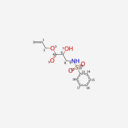 C=CCOC(=O)C(O)CNS(=O)(=O)c1ccccc1